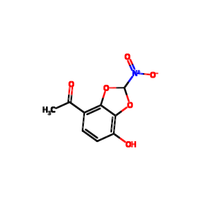 CC(=O)c1ccc(O)c2c1OC([N+](=O)[O-])O2